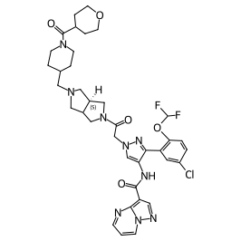 O=C(Nc1cn(CC(=O)N2CC3CN(CC4CCN(C(=O)C5CCOCC5)CC4)C[C@H]3C2)nc1-c1cc(Cl)ccc1OC(F)F)c1cnn2cccnc12